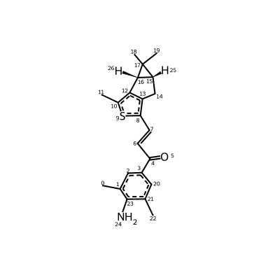 Cc1cc(C(=O)C=Cc2sc(C)c3c2C[C@@H]2[C@H]3C2(C)C)cc(C)c1N